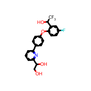 OCC(O)c1cccc(-c2ccc(Oc3ccc(F)cc3C(O)C(F)(F)F)cc2)n1